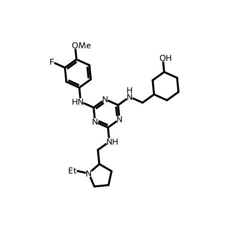 CCN1CCCC1CNc1nc(NCC2CCCC(O)C2)nc(Nc2ccc(OC)c(F)c2)n1